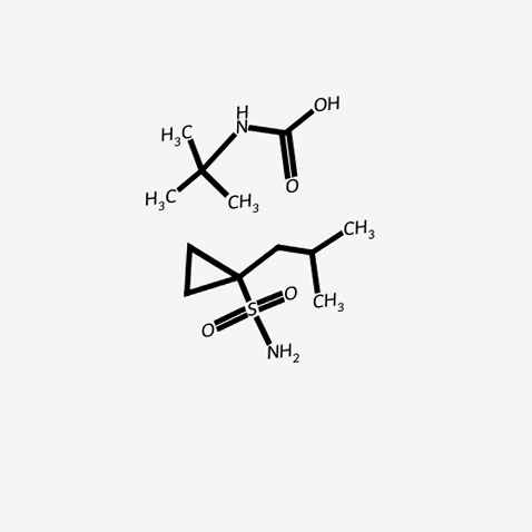 CC(C)(C)NC(=O)O.CC(C)CC1(S(N)(=O)=O)CC1